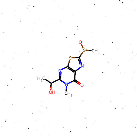 CC(O)c1nc2sc([S+](C)[O-])nc2c(=O)n1C